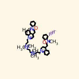 CN1/C(=C/c2cc[n+](CCC[N+](C)(C)CCC[N+](C)(C)CCC[n+]3ccc(/C=C4/Oc5ccccc5N4C)c4ccccc43)c3ccccc23)Oc2ccccc21.[I-].[I-].[I-].[I-]